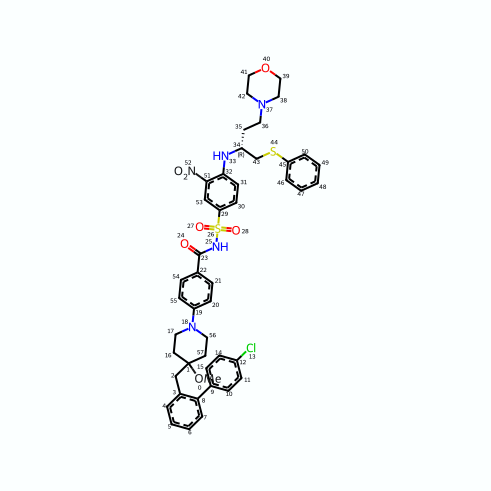 COC1(Cc2ccccc2-c2ccc(Cl)cc2)CCN(c2ccc(C(=O)NS(=O)(=O)c3ccc(N[C@H](CCN4CCOCC4)CSc4ccccc4)c([N+](=O)[O-])c3)cc2)CC1